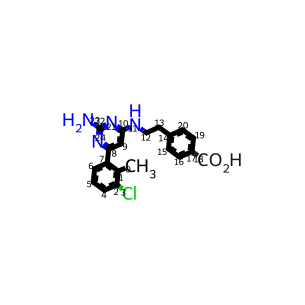 Cc1c(Cl)cccc1-c1cc(NCCc2ccc(C(=O)O)cc2)nc(N)n1